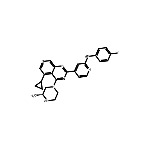 C[C@H]1CN(c2nc(-c3ccnc(Nc4ccc(F)cc4)c3)nc3cncc(C4CC4)c23)CCN1